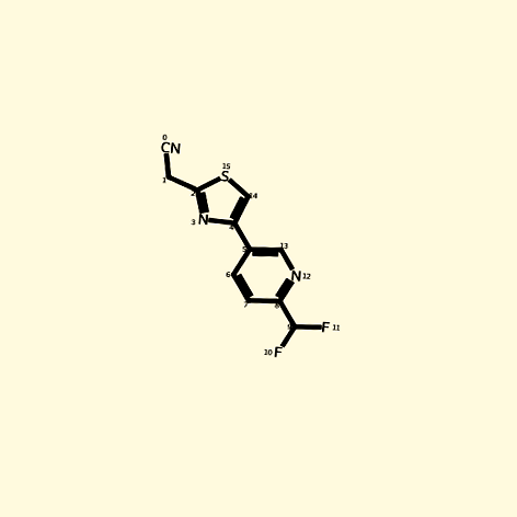 N#CCc1nc(-c2ccc(C(F)F)nc2)cs1